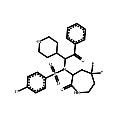 O=C1NCCC(F)(F)CC1N(C(C(=O)c1ccccc1)C1CCNCC1)S(=O)(=O)c1ccc(Cl)cc1